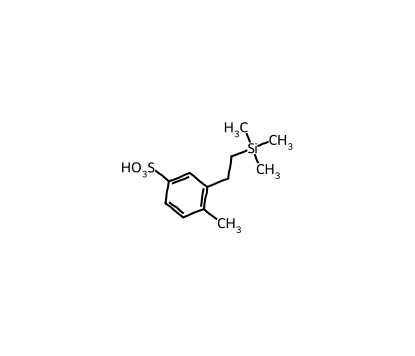 Cc1ccc(S(=O)(=O)O)cc1CC[Si](C)(C)C